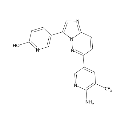 Nc1ncc(-c2ccc3ncc(-c4ccc(O)nc4)n3n2)cc1C(F)(F)F